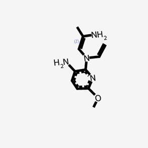 C=CN(/C=C(/C)N)c1nc(OC)ccc1N